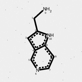 NCc1cc2cnccc2[nH]1